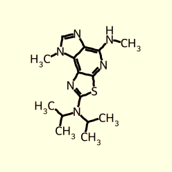 CNc1nc2sc(N(C(C)C)C(C)C)nc2c2c1ncn2C